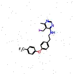 Cc1ncnc(NCCc2ccc(Oc3ccc(C(F)(F)F)cc3)cc2)c1CI